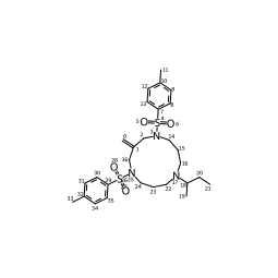 C=C1CN(S(=O)(=O)c2ccc(C)cc2)CCCN(C(C)CC)CCCN(S(=O)(=O)c2ccc(C)cc2)C1